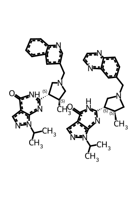 CC(C)n1ncc2c(=O)[nH]c([C@@H]3CN(Cc4ccc5nccnc5c4)C[C@H]3C)nc21.CC(C)n1ncc2c(=O)[nH]c([C@@H]3CN(Cc4cnc5ccccc5c4)C[C@H]3C)nc21